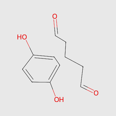 O=CCCCC=O.Oc1ccc(O)cc1